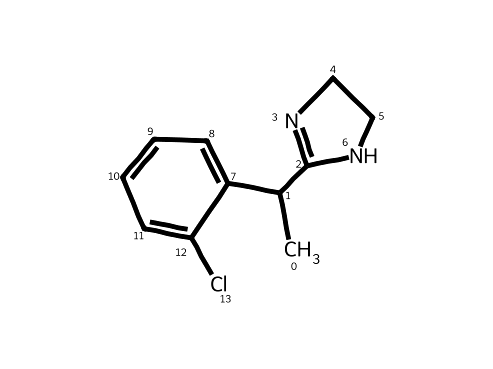 CC(C1=NCCN1)c1ccccc1Cl